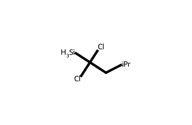 CC(C)CC([SiH3])(Cl)Cl